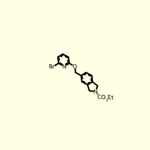 CCOC(=O)N1Cc2ccc(COc3cccc(Br)n3)cc2C1